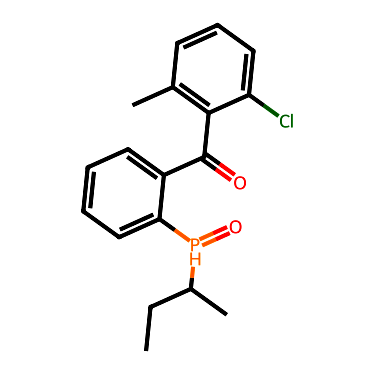 CCC(C)[PH](=O)c1ccccc1C(=O)c1c(C)cccc1Cl